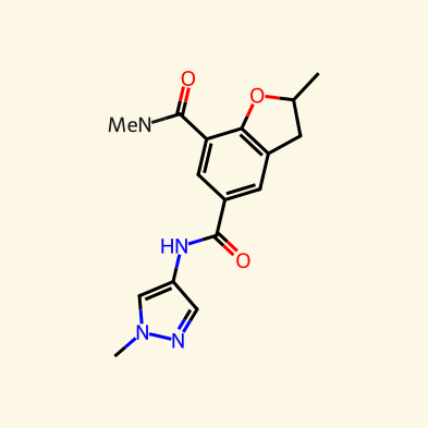 CNC(=O)c1cc(C(=O)Nc2cnn(C)c2)cc2c1OC(C)C2